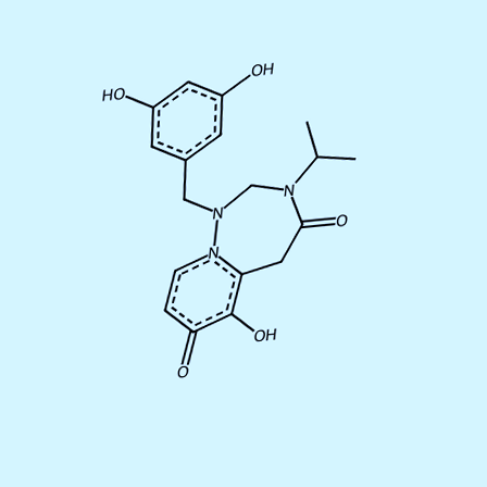 CC(C)N1CN(Cc2cc(O)cc(O)c2)n2ccc(=O)c(O)c2CC1=O